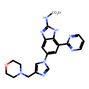 CCOC(=O)Nc1nc2cc(-n3cnc(CN4CCOCC4)c3)cc(-c3ncccn3)c2[nH]1